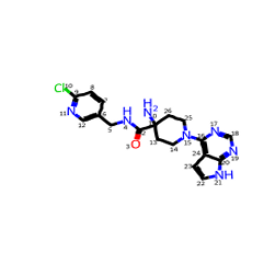 NC1(C(=O)NCc2ccc(Cl)nc2)CCN(c2ncnc3[nH]ccc23)CC1